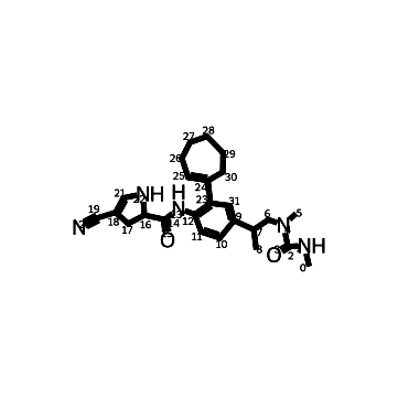 CNC(=O)N(C)CC(C)c1ccc(NC(=O)C2CC(C#N)=CN2)c(C2=CCCCCC2)c1